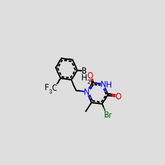 Bc1cccc(C(F)(F)F)c1Cn1c(C)c(Br)c(=O)[nH]c1=O